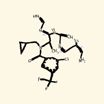 C=C(/N=C\C(Cl)=C/N)N/C(=N\C=N)C(C)N(CC1CC1)C(=O)c1cc(Cl)cc(C(F)(F)F)c1